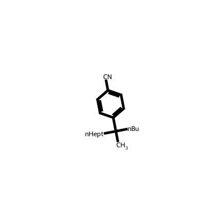 CCCCCCCC(C)(CCCC)c1ccc(C#N)cc1